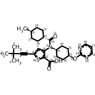 CC(C)(C)C#Cc1cc(N(C(=O)[C@H]2CC[C@H](C)CC2)[C@H]2CC[C@@H](Oc3ncccn3)CC2)c(C(=O)O)s1